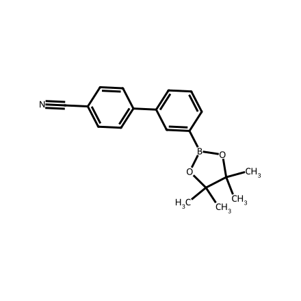 CC1(C)OB(c2cccc(-c3ccc(C#N)cc3)c2)OC1(C)C